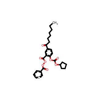 CCCCCCCC(=O)c1ccc(OC(=O)OC2CCCC2)c(C(=O)OOC(=O)c2ccccc2)c1